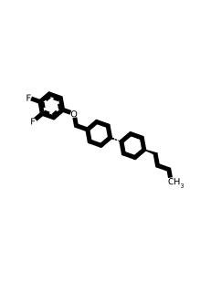 CCCC[C@H]1CC[C@H](C2CCC(COc3ccc(F)c(F)c3)CC2)CC1